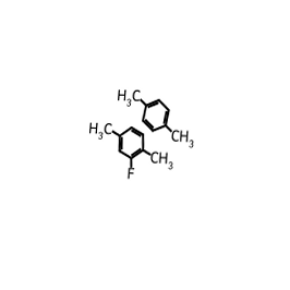 Cc1ccc(C)c(F)c1.Cc1ccc(C)cc1